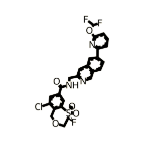 O=C(NCc1cc2cc(-c3cccc(OC(F)F)n3)ccc2cn1)c1cc(Cl)c2c(c1)S(=O)(=O)[C@@H](F)COC2